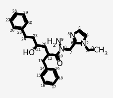 CCn1ccnc1CN(N)C(=O)C(Cc1ccccc1)CC(O)CCc1ccccc1